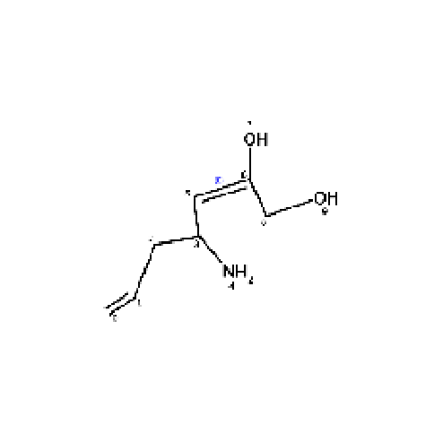 C=CCC(N)/C=C(/O)CO